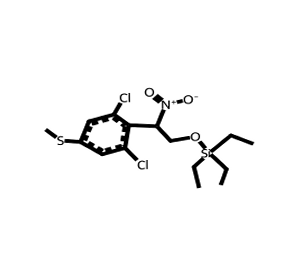 CC[Si](CC)(CC)OCC(c1c(Cl)cc(SC)cc1Cl)[N+](=O)[O-]